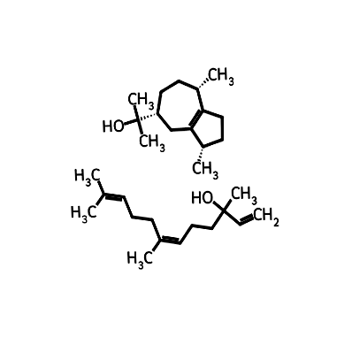 C=CC(C)(O)CCC=C(C)CCC=C(C)C.C[C@H]1CC[C@@H](C(C)(C)O)CC2=C1CC[C@@H]2C